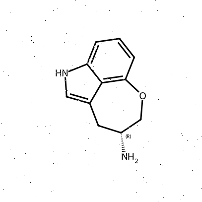 N[C@H]1COc2cccc3[nH]cc(c23)C1